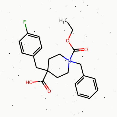 CCOC(=O)[N+]1(Cc2ccccc2)CCC(Cc2ccc(F)cc2)(C(=O)O)CC1